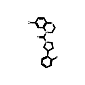 O=C(N1CCC(c2ccccc2F)C1)N1CCOc2ccc(Cl)cc21